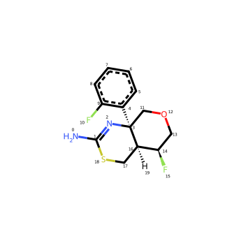 NC1=N[C@@]2(c3ccccc3F)COC[C@@H](F)[C@H]2CS1